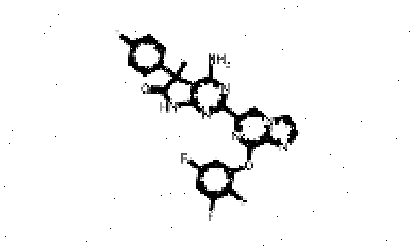 CC1(c2ccc(F)cc2)C(=O)Nc2nc(-c3cn4ccnc4c(Oc4cc(F)cc(F)c4F)n3)nc(N)c21